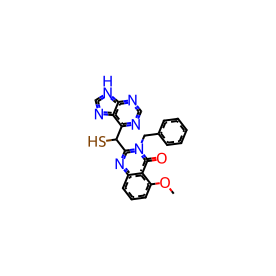 COc1cccc2nc(C(S)c3ncnc4[nH]cnc34)n(Cc3ccccc3)c(=O)c12